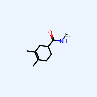 CCNC(=O)C1CCC(C)=C(C)C1